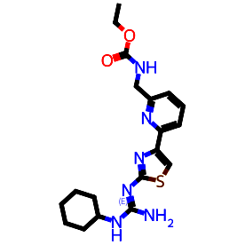 CCOC(=O)NCc1cccc(-c2csc(/N=C(\N)NC3CCCCC3)n2)n1